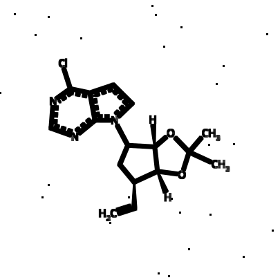 C=C[C@H]1CC(n2ccc3c(Cl)ncnc32)[C@@H]2OC(C)(C)O[C@H]12